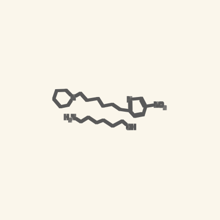 NCCCCCCO.O=[N+]([O-])c1ccc(CCCCCCN2CCCCC2)nc1